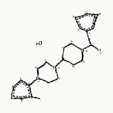 Cc1ccccc1N1CCN(C2CCN(C(c3ccccc3)C(F)(F)F)CC2)CC1.Cl